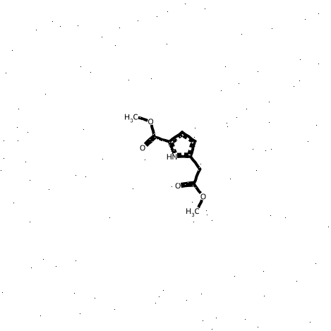 COC(=O)Cc1ccc(C(=O)OC)[nH]1